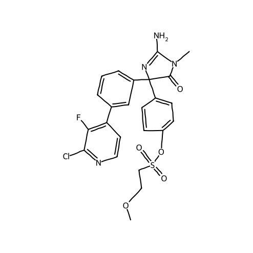 COCCS(=O)(=O)Oc1ccc(C2(c3cccc(-c4ccnc(Cl)c4F)c3)N=C(N)N(C)C2=O)cc1